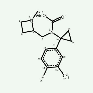 COC(=O)N(CC1CCN1C)C1(c2ccc(F)c(C(F)(F)F)c2)CC1